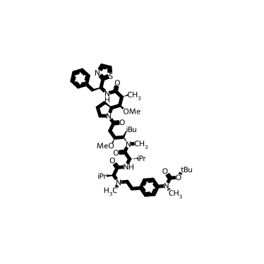 CC[C@H](C)[C@@H]([C@@H](CC(=O)N1CCC[C@H]1[C@H](OC)[C@@H](C)C(=O)N[C@@H](Cc1ccccc1)c1nccs1)OC)N(C)C(=O)[C@@H](NC(=O)[C@H](C(C)C)N(C)CCc1ccc(N(C)C(=O)OC(C)(C)C)cc1)C(C)C